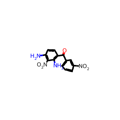 Nc1ccc(C(=O)c2cccc([N+](=O)[O-])c2)c(N)c1[N+](=O)[O-]